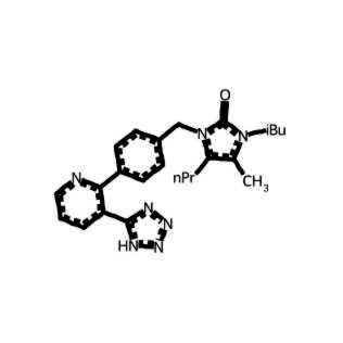 CCCc1c(C)n(C(C)CC)c(=O)n1Cc1ccc(-c2ncccc2-c2nnn[nH]2)cc1